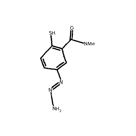 CNC(=O)c1cc(N=NN)ccc1S